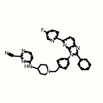 N#Cc1nccc(NC2CCN(Cc3ccc(-n4c(-c5ccccc5)nc5ccc(-c6ccc(F)cn6)nc54)cc3)CC2)n1